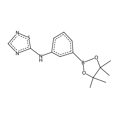 CC1(C)OB(c2cccc(Nc3ncns3)c2)OC1(C)C